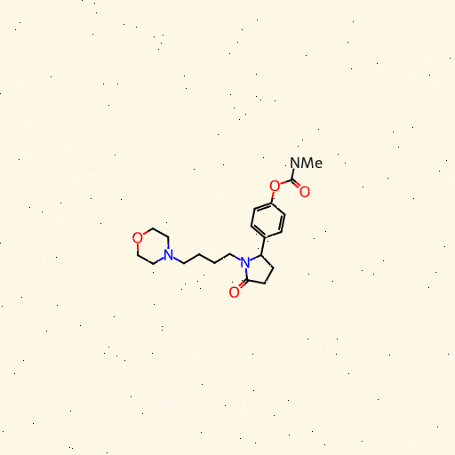 CNC(=O)Oc1ccc(C2CCC(=O)N2CCCCN2CCOCC2)cc1